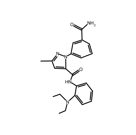 CCN(CC)c1ccccc1NC(=O)c1cc(C)nn1-c1cccc(C(N)=O)c1